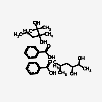 CC(C)CC(O)C(C)O.CCCC(C)(O)C(C)(C)O.O=C(O)c1ccccc1.O=C(O)c1ccccc1